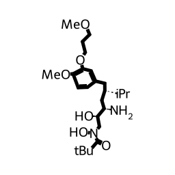 COCCCOc1cc(C[C@@H](C[C@H](N)[C@@H](O)CN(O)C(=O)C(C)(C)C)C(C)C)ccc1OC